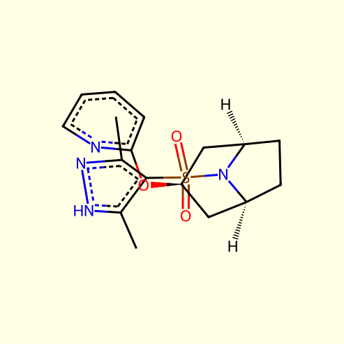 Cc1n[nH]c(C)c1S(=O)(=O)N1[C@@H]2CC[C@H]1C[C@@H](Oc1ccccn1)C2